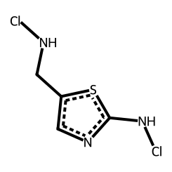 ClNCc1cnc(NCl)s1